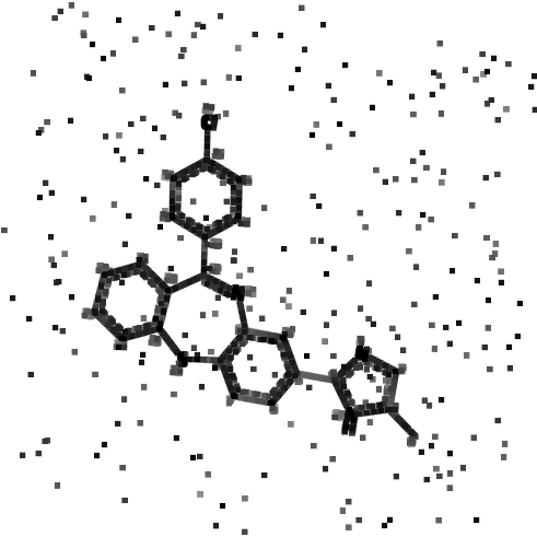 Cc1cnc(-c2ccc3c(c2)N=C(c2ccc(Cl)cc2)c2ccccc2S3)[nH]1